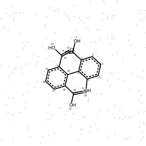 O=C(O)c1cccc(O)c1-c1c(C(=O)O)cccc1C(=O)O